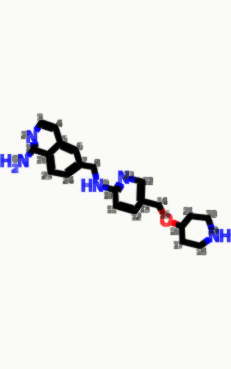 Nc1nccc2cc(CNc3ccc(COC4CCNCC4)cn3)ccc12